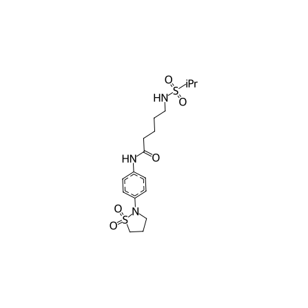 CC(C)S(=O)(=O)NCCCCC(=O)Nc1ccc(N2CCCS2(=O)=O)cc1